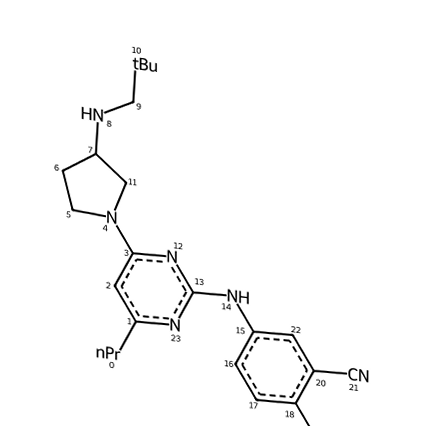 CCCc1cc(N2CCC(NCC(C)(C)C)C2)nc(Nc2ccc(C)c(C#N)c2)n1